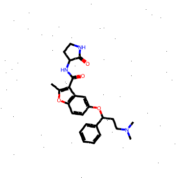 Cc1oc2ccc(OC(CCN(C)C)c3ccccc3)cc2c1C(=O)NC1CCNC1=O